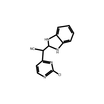 N#CC(c1ccnc(Cl)n1)C1Nc2ccccc2N1